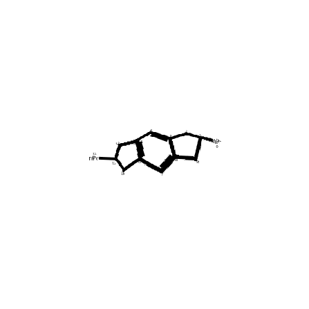 CCCC1Cc2cc3c(cc2C1)CC(CCC)C3